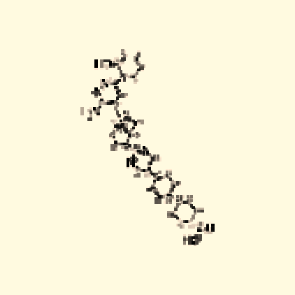 Nc1nnc(-c2ccccc2O)cc1N1CC2CC(c3ncc(-c4ccc([C@H]5CC[C@@H](C(=O)O)CC5)cc4)cn3)C3C(CC23)C1